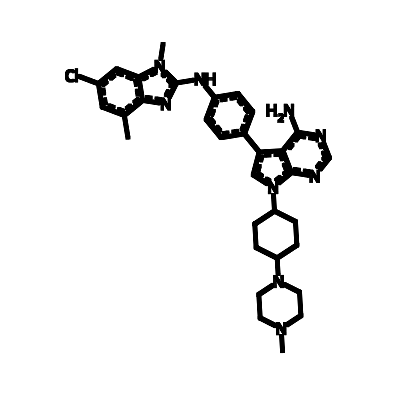 Cc1cc(Cl)cc2c1nc(Nc1ccc(-c3cn(C4CCC(N5CCN(C)CC5)CC4)c4ncnc(N)c34)cc1)n2C